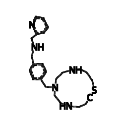 c1ccc(CNCc2ccc(CN3CCNCCCSCCCNCC3)cc2)nc1